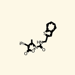 Cc1c(C(C)C)c(=O)on1C(=O)NCc1cc2ccccc2s1